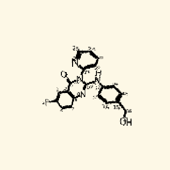 O=c1c2cc(F)ccc2nc(Nc2ccc(CO)cc2)n1-c1ccccn1